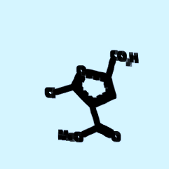 COC(=O)c1cc(C(=O)O)oc1Cl